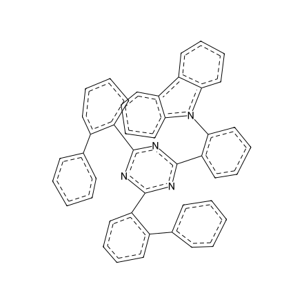 c1ccc(-c2ccccc2-c2nc(-c3ccccc3-c3ccccc3)nc(-c3ccccc3-n3c4ccccc4c4ccccc43)n2)cc1